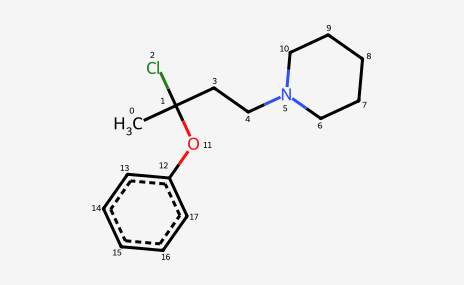 CC(Cl)(CCN1CCCCC1)Oc1ccccc1